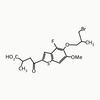 COc1cc2sc(C(=O)CC(C)C(=O)O)cc2c(F)c1OCC(C)CBr